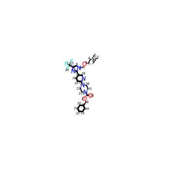 C[Si](C)(C)CCOCn1cc(C(F)(F)F)nc1-c1ccc(N2CCN(C(=O)OCc3ccccc3)CC2)nc1